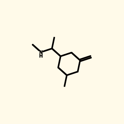 C=C1CC(C)CC(C(C)NC)C1